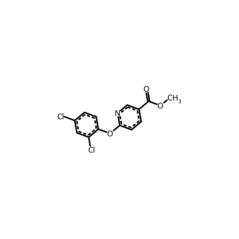 COC(=O)c1ccc(Oc2ccc(Cl)cc2Cl)nc1